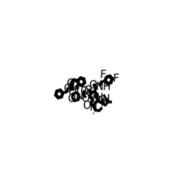 CC1=NO[C@@]2(CC[C@H](C)N3C[C@H]2n2cc(C(=O)NCc4ccc(F)cc4F)c(=O)c(OC(=O)N4CCOC[C@H]4COP(=O)(OCc4ccccc4)OCc4ccccc4)c2C3=O)C1